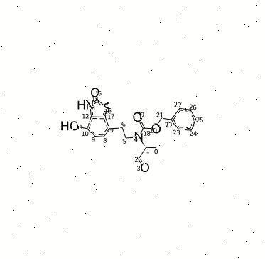 CC(C=O)N(CCc1ccc(O)c2[nH]c(=O)sc12)C(=O)OCc1ccccc1